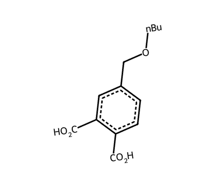 CCCCOCc1ccc(C(=O)O)c(C(=O)O)c1